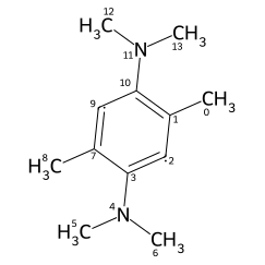 Cc1[c]c(N(C)C)c(C)[c]c1N(C)C